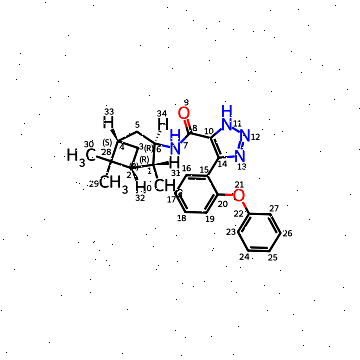 C[C@@H]1[C@H]2C[C@@H](C[C@H]1NC(=O)c1[nH]nnc1-c1ccccc1Oc1ccccc1)C2(C)C